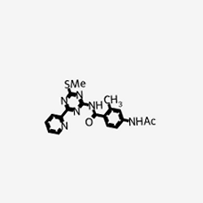 CSc1nc(NC(=O)c2ccc(NC(C)=O)cc2C)nc(-c2ccccn2)n1